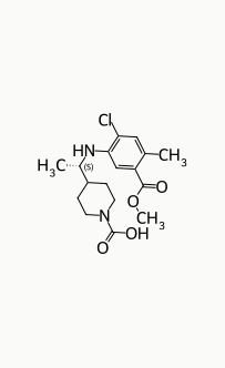 COC(=O)c1cc(N[C@@H](C)C2CCN(C(=O)O)CC2)c(Cl)cc1C